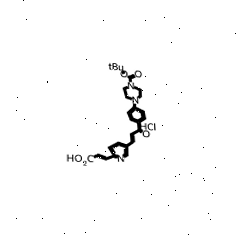 CC(C)(C)OC(=O)N1CCN(c2ccc(C(=O)C=Cc3ccc(C=CC(=O)O)nc3)cc2)CC1.Cl